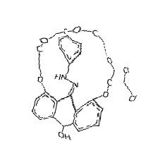 ClCCl.OC1c2cccc3c2C(=NNc2ccccc2)c2c(cccc21)OCCOCCOCCOCCO3